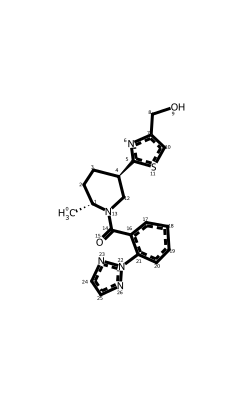 C[C@@H]1CC[C@@H](c2nc(CO)cs2)CN1C(=O)c1ccccc1-n1nccn1